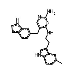 Cc1ccc2[nH]cc(CCNc3nc(N)ncc3Cc3ccc4cc[nH]c4c3)c2c1